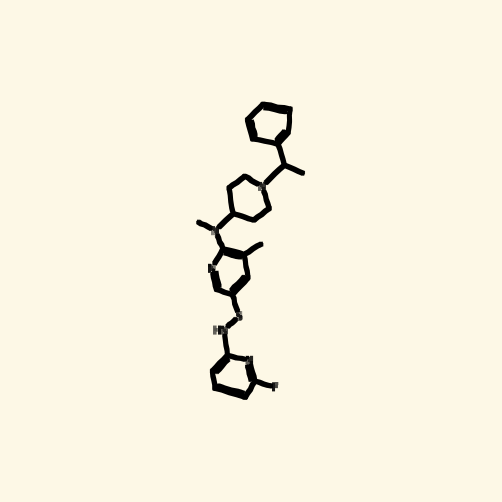 Cc1cc(SNc2cccc(F)n2)cnc1N(C)C1CCN(C(C)c2ccccc2)CC1